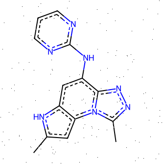 Cc1cc2c(cc(Nc3ncccn3)c3nnc(C)n32)[nH]1